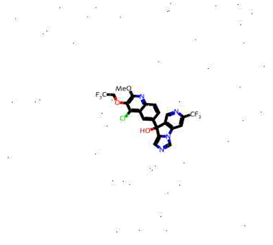 COc1nc2ccc(C3(O)c4cnc(C(F)(F)F)cc4-n4cncc43)cc2c(Cl)c1OCC(F)(F)F